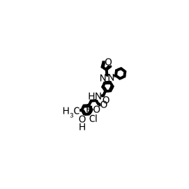 Cc1cc(CC(NC(=O)c2ccc3c(c2)nc(-c2ccoc2)n3C2CCCCC2)C(=O)O)cc(Cl)c1O